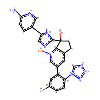 Nc1ccc(-c2cnc(C3(O)CCc4cc(-c5cc(Cl)ccc5-n5cnnn5)c[n+](O)c43)[nH]2)cn1